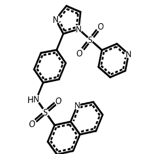 O=S(=O)(Nc1ccc(-c2nccn2S(=O)(=O)c2cccnc2)cc1)c1cccc2cccnc12